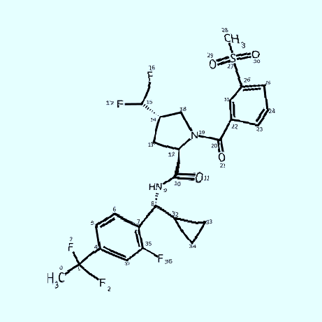 CC(F)(F)c1ccc([C@H](NC(=O)[C@H]2C[C@H](C(F)F)CN2C(=O)c2cccc(S(C)(=O)=O)c2)C2CC2)c(F)c1